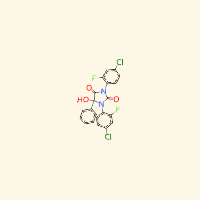 O=C1N(c2ccc(Cl)cc2F)C(=O)C(O)(c2ccccc2)N1c1ccc(Cl)cc1F